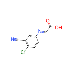 N#Cc1cc(N=CC(=O)O)ccc1Cl